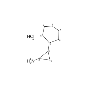 Cl.NC1CC1C1CCCCC1